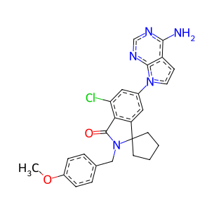 COc1ccc(CN2C(=O)c3c(Cl)cc(-n4ccc5c(N)ncnc54)cc3C23CCCC3)cc1